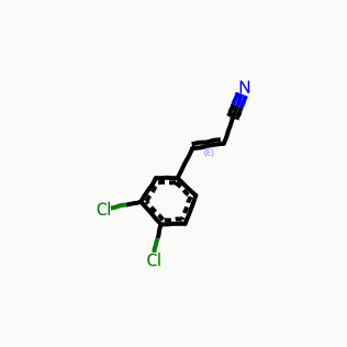 N#C/C=C/c1ccc(Cl)c(Cl)c1